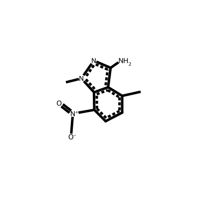 Cc1ccc([N+](=O)[O-])c2c1c(N)nn2C